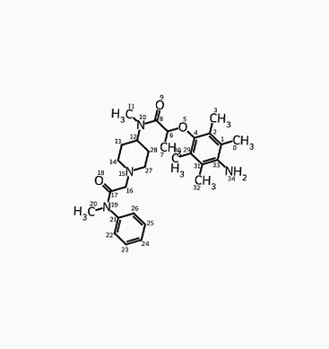 Cc1c(C)c(OC(C)C(=O)N(C)C2CCN(CC(=O)N(C)c3ccccc3)CC2)c(C)c(C)c1N